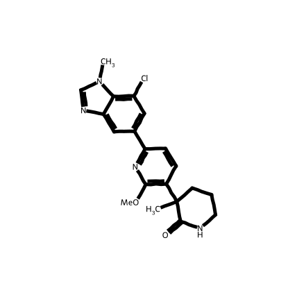 COc1nc(-c2cc(Cl)c3c(c2)ncn3C)ccc1C1(C)CCCNC1=O